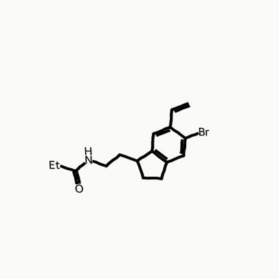 C=Cc1cc2c(cc1Br)CCC2CCNC(=O)CC